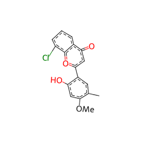 COc1cc(O)c(-c2cc(=O)c3cccc(Cl)c3o2)cc1C